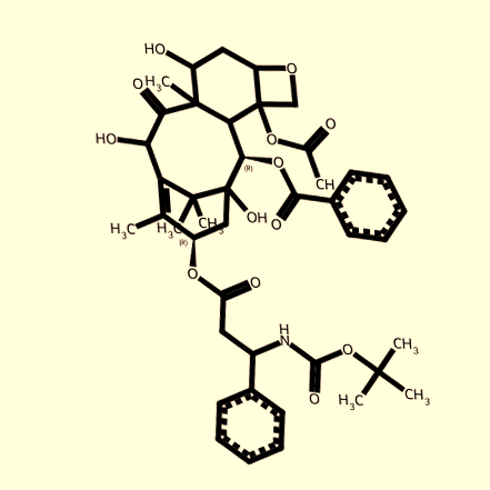 CC(=O)OC12COC1CC(O)C1(C)C(=O)C(O)C3=C(C)[C@H](OC(=O)CC(NC(=O)OC(C)(C)C)c4ccccc4)CC(O)([C@H](OC(=O)c4ccccc4)C21)C3(C)C